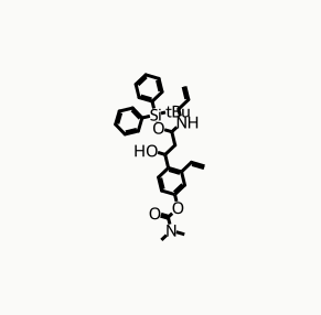 C=CCNC(CC(O)c1ccc(OC(=O)N(C)C)cc1C=C)O[Si](c1ccccc1)(c1ccccc1)C(C)(C)C